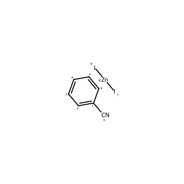 N#Cc1c[c]ccc1.[I][Zn][I]